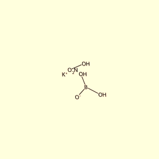 O=[N+]([O-])O.[K+].[O-]B(O)O